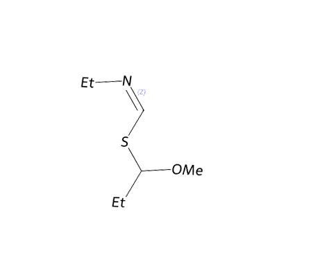 CC/N=C\SC(CC)OC